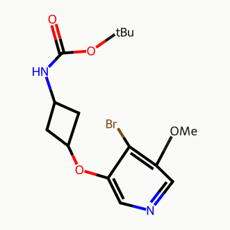 COc1cncc(OC2CC(NC(=O)OC(C)(C)C)C2)c1Br